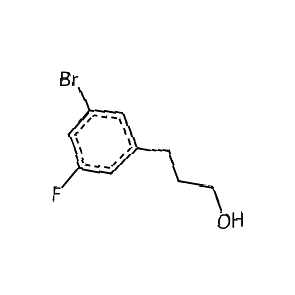 OCCCc1cc(F)cc(Br)c1